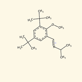 COc1c(/C=N/C(C)C)cc(C(C)(C)C)cc1C(C)(C)C